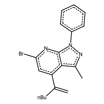 C=C(CCCC)c1cc(Br)nc2c1c(C)nn2-c1ccccc1